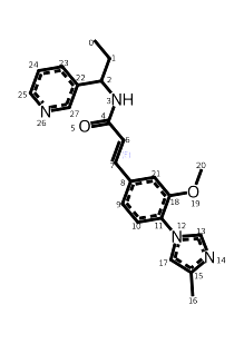 CCC(NC(=O)/C=C/c1ccc(-n2cnc(C)c2)c(OC)c1)c1cccnc1